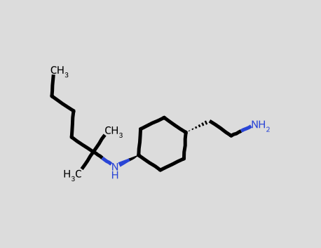 CCCCC(C)(C)N[C@H]1CC[C@H](CCN)CC1